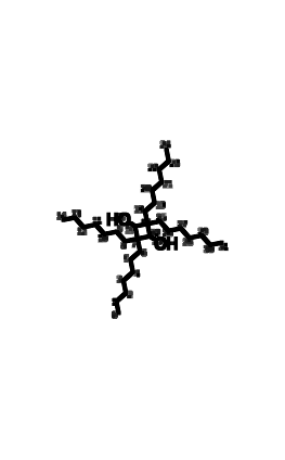 CCCCCCCC1(CCCCCCC)C(O)C(CCCCCCC)(CCCCCCC)C1O